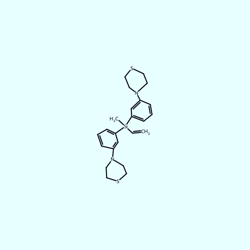 C=C[Si](C)(c1cccc(N2CCSCC2)c1)c1cccc(N2CCSCC2)c1